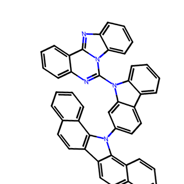 c1ccc2c(c1)ccc1c3ccc4ccccc4c3n(-c3ccc4c5ccccc5n(-c5nc6ccccc6c6nc7ccccc7n56)c4c3)c21